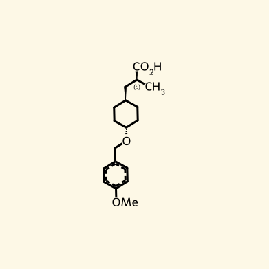 COc1ccc(CO[C@H]2CC[C@H](C[C@H](C)C(=O)O)CC2)cc1